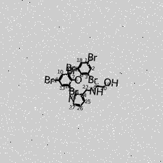 Brc1cc(Br)c(Oc2c(Br)cc(Br)cc2Br)c(Br)c1.OCCNCc1cccnc1